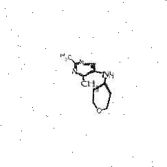 Cc1ncc(NC2CCOCC2)c(C)n1